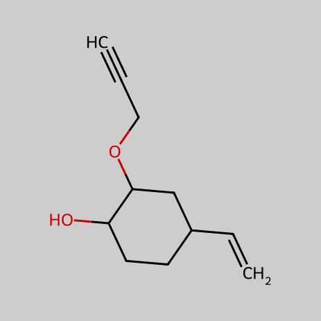 C#CCOC1CC(C=C)CCC1O